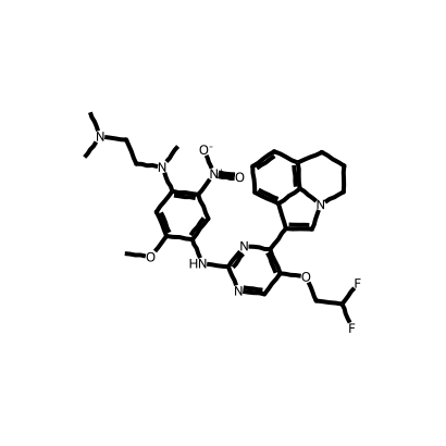 COc1cc(N(C)CCN(C)C)c([N+](=O)[O-])cc1Nc1ncc(OCC(F)F)c(-c2cn3c4c(cccc24)CCC3)n1